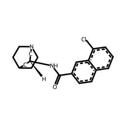 O=C(N[C@@H]1CC2CCN(CC2)C1)c1ccc2cccc(Cl)c2c1